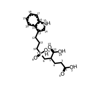 O=C(O)CCC(CP(=O)(O)CCCc1c[nH]c2ccccc12)C(=O)O